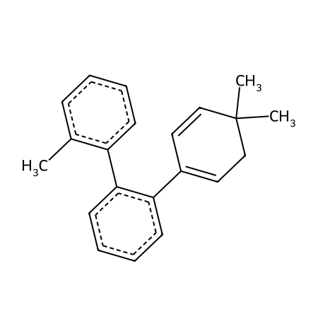 Cc1ccccc1-c1ccccc1C1=CCC(C)(C)C=C1